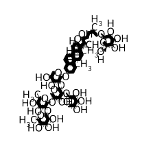 C[C@H](CCC1(O)O[C@H]2C[C@H]3[C@@H]4CC=C5CC(O[C@@H]6OC[C@@H](O)[C@H](O)[C@H]6O[C@@H]6OC[C@@H](O[C@@H]7O[C@@H](C)[C@H](O)[C@@H](O)[C@H]7O[C@@H]7O[C@@H](C)[C@H](O)[C@@H](O)[C@H]7O)[C@H](O)[C@H]6O[C@@H]6OC[C@@H](O)[C@H](O)[C@H]6O)CC[C@]5(C)[C@H]4CC[C@]3(C)[C@H]2[C@@H]1C)CO[C@@H]1O[C@H](CO)[C@@H](O)[C@H](O)[C@H]1O